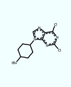 CC(C)(C)C1CCC(n2cnc3c(Cl)nc(Cl)nc32)CC1